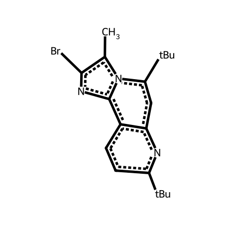 Cc1c(Br)nc2c3ccc(C(C)(C)C)nc3cc(C(C)(C)C)n12